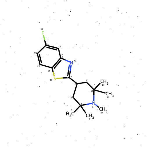 CN1C(C)(C)CC(c2nc3cc(F)ccc3s2)CC1(C)C